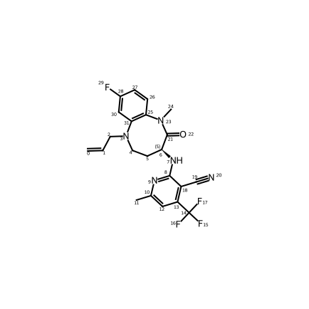 C=CCN1CC[C@H](Nc2nc(C)cc(C(F)(F)F)c2C#N)C(=O)N(C)c2ccc(F)cc21